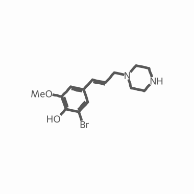 COc1cc(C=CCN2CCNCC2)cc(Br)c1O